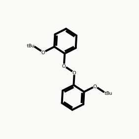 CC(C)(C)Oc1ccccc1OOc1ccccc1OC(C)(C)C